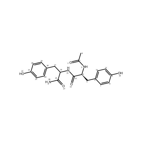 CC(=O)N[C@@H](Cc1ccc(O)cc1)C(=O)NC(Cc1ccc(O)cc1)C(N)=O